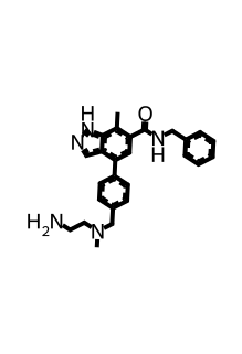 Cc1c(C(=O)NCc2ccccc2)cc(-c2ccc(CN(C)CCN)cc2)c2cn[nH]c12